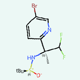 CC(C)(C)[S@+]([O-])N[C@@](C)(c1ccc(Br)cn1)C(F)F